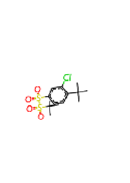 CC(C)(C)c1ccc(S(=O)(=O)S(=O)(=O)C(C)(C)C)cc1Cl